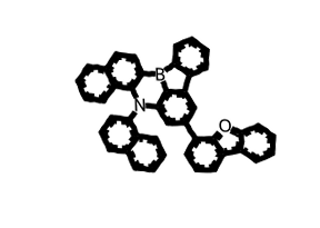 c1ccc2c(c1)B1c3ccc4ccccc4c3N(c3cccc4ccccc34)c3cc(-c4cccc5c4oc4ccccc45)cc-2c31